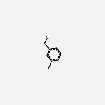 ClSc1cccc(Cl)c1